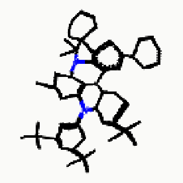 CC1CC2=C3B(c4cc(C5CCCCC5)cc5c4N(C3C1)C(C)(C)C51CCCCC1)C1CC=C(C(C)(C)C)CC1N2C1=CC(C(C)(C)C)=CC(C(C)(C)C)C1